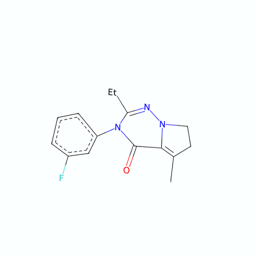 CCC1=NN2CCC(C)=C2C(=O)N1c1cccc(F)c1